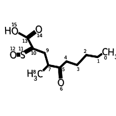 CCCCCC(=O)C(C)CC(=S=O)C(=O)O